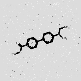 CC(CN)c1ccc(-c2ccc(C(=O)OC(C)(C)C)cc2)cc1